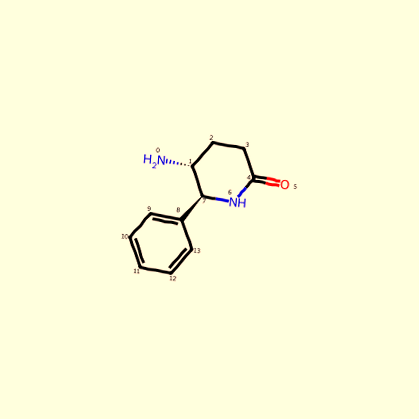 N[C@@H]1CCC(=O)N[C@H]1c1ccccc1